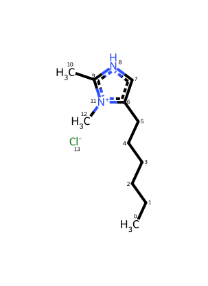 CCCCCCc1c[nH]c(C)[n+]1C.[Cl-]